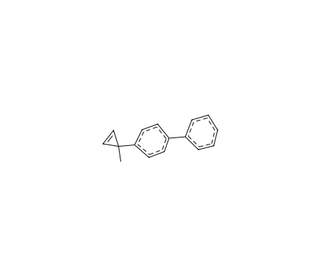 CC1(c2ccc(-c3ccccc3)cc2)C=C1